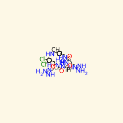 CC(=N)c1ccc(CNC(=O)[C@H](CCCNC(=N)N)NC(=O)C(NC(=O)[C@H](CCCNC(=N)N)NC(=O)Cc2ccc(Cl)c(Cl)c2)C(C)C)cc1